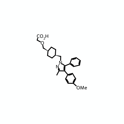 COc1ccc(-c2c(C)nn(C[C@H]3CC[C@@H](COCC(=O)O)CC3)c2-c2ccccc2)cc1